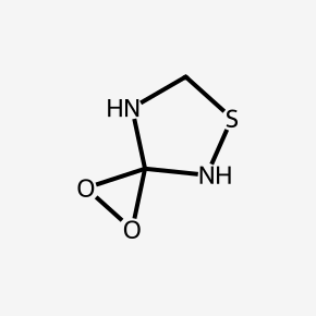 C1NC2(NS1)OO2